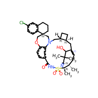 C[C@@H]1[C@@H](C)C/C=C(\C(O)C(C)(C)C#N)C[C@@H]2CC[C@H]2CN2C[C@@]3(CCCc4cc(Cl)ccc43)COc3ccc(cc32)C(=O)NS1(=O)=O